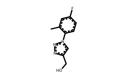 Cc1cc(F)ccc1-n1cc(CO)nn1